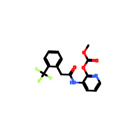 COC(=O)Oc1ncccc1NC(=O)Cc1ccccc1C(F)(F)F